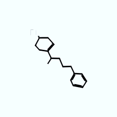 CCC1CC=C(C(C)CCCc2ccccc2)CC1